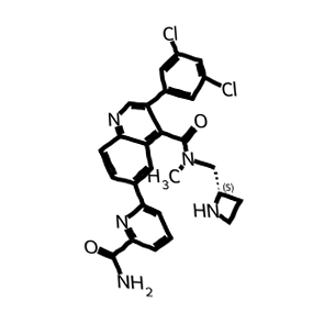 CN(C[C@@H]1CCN1)C(=O)c1c(-c2cc(Cl)cc(Cl)c2)cnc2ccc(-c3cccc(C(N)=O)n3)cc12